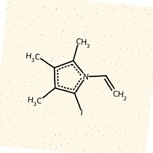 C=Cn1c(C)c(C)c(C)c1I